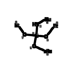 CCCCO[Si](NC(C)CC)(OCC)OCC